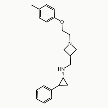 Cc1ccc(OCCN2CC(CN[C@@H]3CC3c3ccccc3)C2)cc1